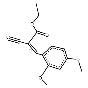 CCOC(=O)/C(C#N)=C\c1ccc(OC)cc1OC